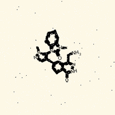 Cn1ncc(-c2ccc3c(=O)[nH]nc(CN)c3c2)c1-n1c(=O)n(C)c2ccccc21